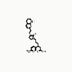 COc1ccc(C(CCCN2CC[C@@H](CCc3ccc4c(n3)NCCC4)C2=O)CC(=O)O)cn1